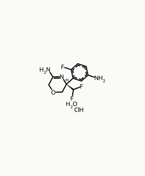 Cl.NC1=N[C@@](c2cc(N)ccc2F)(C(F)F)COC1.O